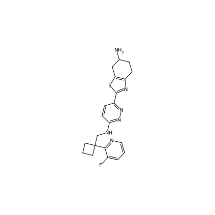 NC1CCc2nc(-c3ccc(NCC4(c5ncccc5F)CCC4)nn3)sc2C1